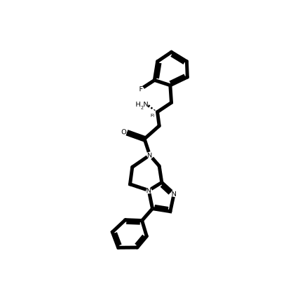 N[C@@H](CC(=O)N1CCn2c(-c3ccccc3)cnc2C1)Cc1ccccc1F